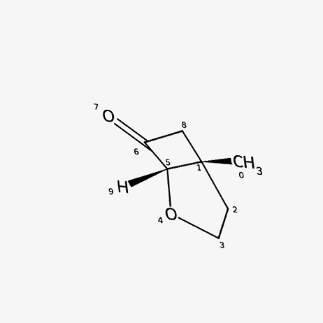 C[C@@]12CCO[C@@H]1C(=O)C2